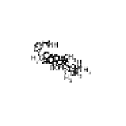 CNC(=O)O[C@H](C(C)C)[C@H]1C[C@@H](C)[C@H]2[C@H](O1)[C@H](O)[C@@]1(C)[C@@H]3CC[C@H]4C(C)(C)[C@@H](O[C@H]5CN(CC6CNC6)CCO5)CC[C@@]45C[C@@]35CC[C@]21C